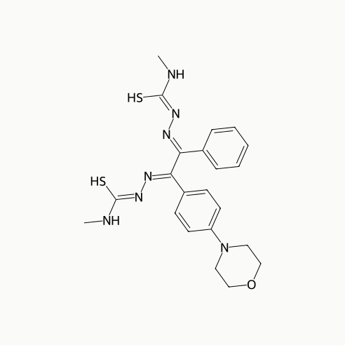 CN/C(S)=N/N=C(/C(=N/N=C(\S)NC)c1ccc(N2CCOCC2)cc1)c1ccccc1